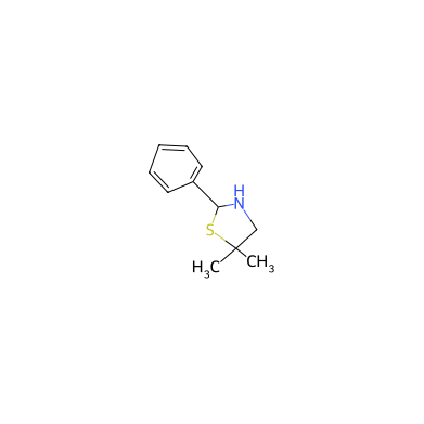 CC1(C)CNC(c2ccccc2)S1